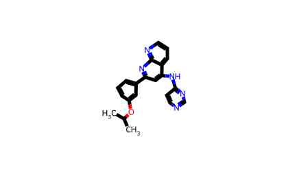 CC(C)Oc1cccc(-c2cc(Nc3ccncn3)c3cccnc3n2)c1